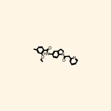 CCOc1cc(C)ccc1C(=O)Nc1ccc2c(c1)CCN2C(=O)Cc1ccccn1